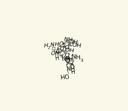 NC1CC(O)(C(=O)N[C@@H]2C[C@H](N)C(O[C@H]3O[C@H](CNCCO)[C@@H](O)C[C@H]3N)[C@H](O)[C@H]2O[C@H]2O[C@H](CO)[C@@H](O)[C@H](N)[C@H]2O)C1